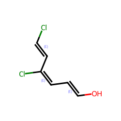 O/C=C/C=C(Cl)\C=C\Cl